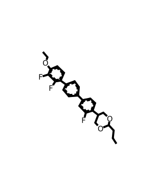 CCCC1OCC(c2ccc(-c3ccc(-c4ccc(OCC)c(F)c4F)cc3)cc2F)CO1